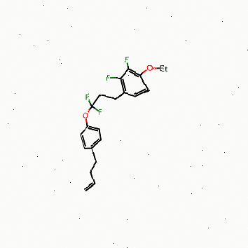 C=CCCc1ccc(OC(F)(F)CCc2ccc(OCC)c(F)c2F)cc1